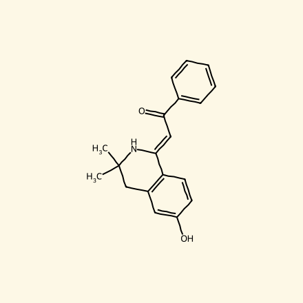 CC1(C)Cc2cc(O)ccc2C(=CC(=O)c2ccccc2)N1